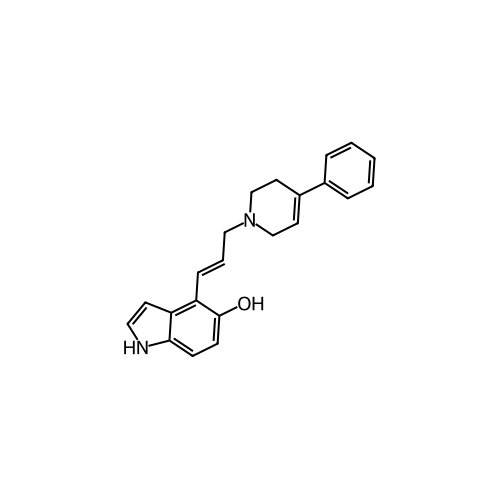 Oc1ccc2[nH]ccc2c1C=CCN1CC=C(c2ccccc2)CC1